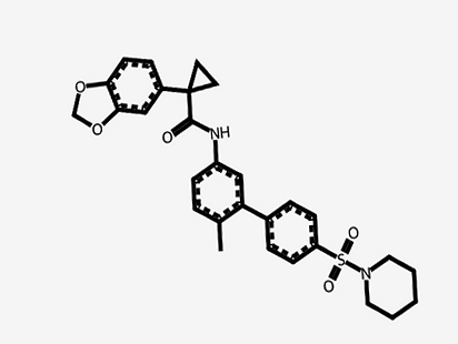 Cc1ccc(NC(=O)C2(c3ccc4c(c3)OCO4)CC2)cc1-c1ccc(S(=O)(=O)N2CCCCC2)cc1